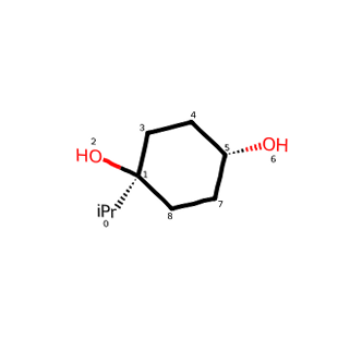 CC(C)[C@]1(O)CC[C@H](O)CC1